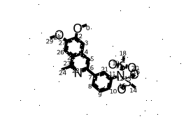 COc1cc2cc(-c3cccc(N(S(C)(=O)=O)S(C)(=O)=O)c3)nc(C)c2cc1OC